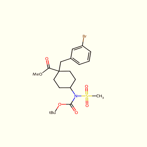 COC(=O)C1(Cc2cccc(Br)c2)CCC(N(C(=O)OC(C)(C)C)S(C)(=O)=O)CC1